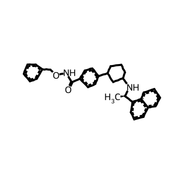 C[C@@H](NC1CCCC(c2ccc(C(=O)NOCc3ccccc3)cc2)C1)c1cccc2ccccc12